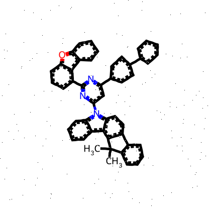 CC1(C)c2ccccc2-c2ccc3c(c21)c1ccccc1n3-c1cc(-c2ccc(-c3ccccc3)cc2)nc(-c2cccc3oc4ccccc4c23)n1